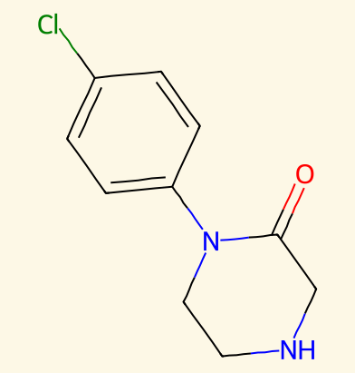 O=C1CNCCN1c1ccc(Cl)cc1